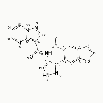 COc1cc2ccsc2cc1-c1n[nH]cc1NC(=O)c1cnn2cccnc12